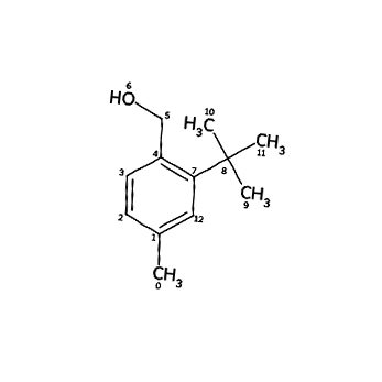 Cc1ccc(CO)c(C(C)(C)C)c1